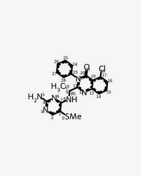 CSc1cnc(N)nc1N[C@H](C)c1nc2cccc(Cl)c2c(=O)n1-c1ccccc1